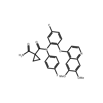 COc1cc2nccc(Oc3ccc(F)cc3N(C(=O)C3(C(N)=O)CC3)c3ccc(F)cc3)c2cc1OC